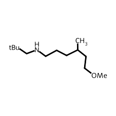 COCCC(C)CCCNCC(C)(C)C